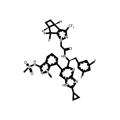 Cn1nc(NS(C)(=O)=O)c2cccc(-c3cc4[nH]c(C5CC5)nc4nc3[C@H](Cc3cc(F)cc(F)c3)NC(=O)Cn3nc(C(F)(F)F)c4c3C(F)(F)[C@@H]3CC[C@H]43)c21